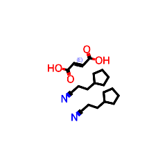 N#CCCC1CCCC1.N#CCCC1CCCC1.O=C(O)/C=C/C(=O)O